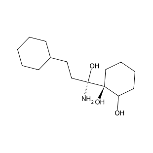 N[C@@](O)(CCC1CCCCC1)[C@]1(O)CCCCC1O